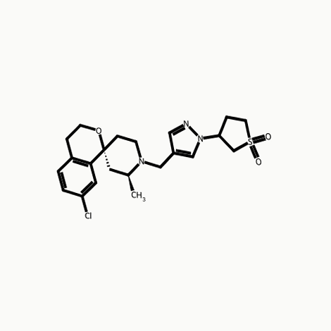 C[C@H]1C[C@@]2(CCN1Cc1cnn(C3CCS(=O)(=O)C3)c1)OCCc1ccc(Cl)cc12